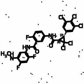 CNc1cc(NC(=O)c2cc(NC(=O)[C@H]3[C@H](c4cc(Cl)c(Cl)c(Cl)c4)C3(Cl)Cl)ccc2F)c(F)cc1F